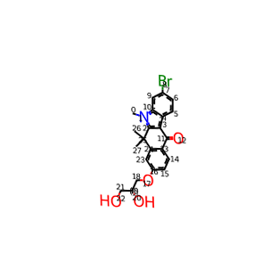 Cn1c2c(c3ccc(Br)cc31)C(=O)c1ccc(OC[C@H](O)CO)cc1C2(C)C